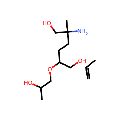 C=CC.CC(O)COC(CO)CCC(C)(N)CO